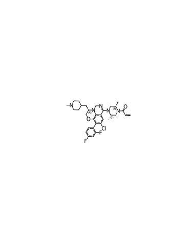 C=CC(=O)N1C[C@H](C)N(C2=NCN3c4c2cc(Cl)c(-c2ccc(F)cc2F)c4OC[C@H]3CC2CCN(C)CC2)C[C@H]1C